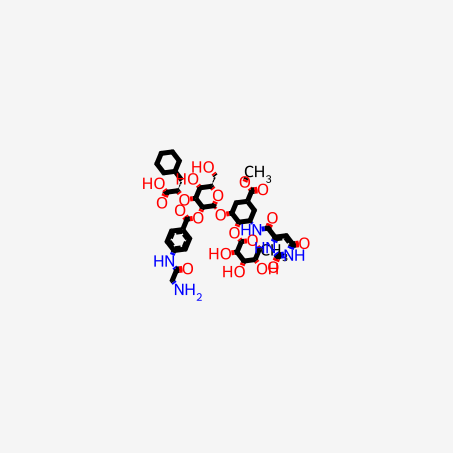 COC(=O)C1CC(O[C@@H]2O[C@@H](CO)C(O)C(O[C@@H](CC3CCCCC3)C(=O)O)C2OC(=O)c2ccc(NC(=O)CN)cc2)C(OC2OC(C)C(O)C(O)C2O)[C@H](NC(=O)c2cc(=O)[nH]c(=O)[nH]2)C1